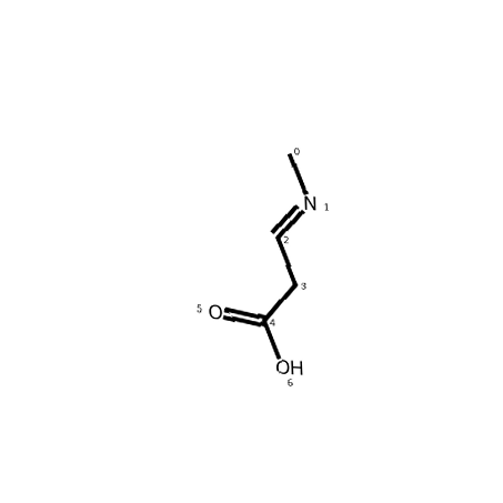 CN=CCC(=O)O